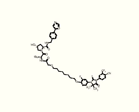 CC(C)(C)[C@H](NC(=O)COCCCCCCCCOc1ccc(N2C(=S)N(c3ccc(C#N)c(C(F)(F)F)c3)C(=O)C2(C)C)cc1F)C(=O)N1C[C@H](O)C[C@H]1C(=O)NCc1ccc(-c2cnco2)cc1